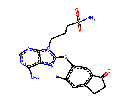 Nc1ncnc2c1nc(Sc1cc3c(cc1I)CCC3=O)n2CCCS(N)(=O)=O